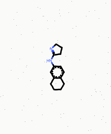 c1cc2c(cc1NC1=NCCC1)CCCC2